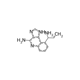 C=CC(N)c1cccc2nc(N)c3nc[nH]c3c12